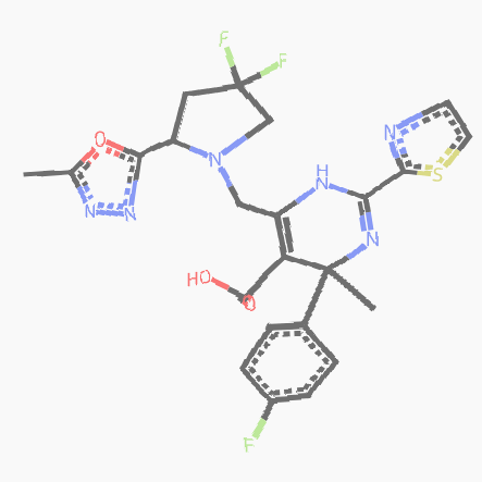 Cc1nnc(C2CC(F)(F)CN2CC2=C(C(=O)O)C(C)(c3ccc(F)cc3)N=C(c3nccs3)N2)o1